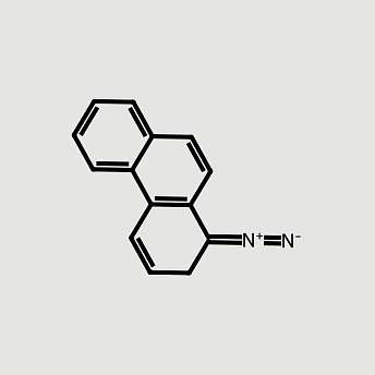 [N-]=[N+]=C1CC=Cc2c1ccc1ccccc21